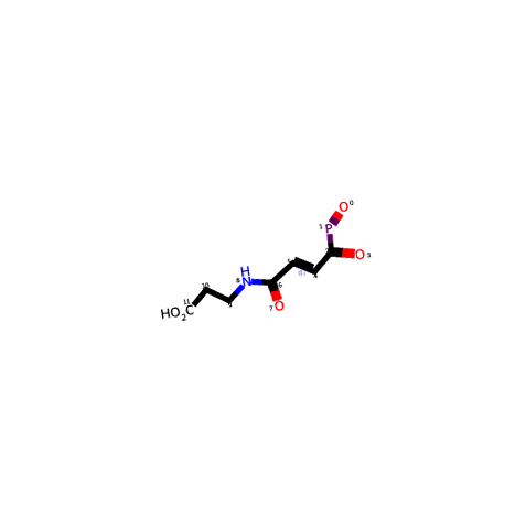 O=PC(=O)/C=C/C(=O)NCCC(=O)O